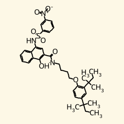 CCC(C)(C)c1ccc(OCCCC[N]C(=O)c2cc(NS(=O)(=O)c3cccc([N+](=O)[O-])c3)c3ccccc3c2O)c(C(C)(C)CC)c1